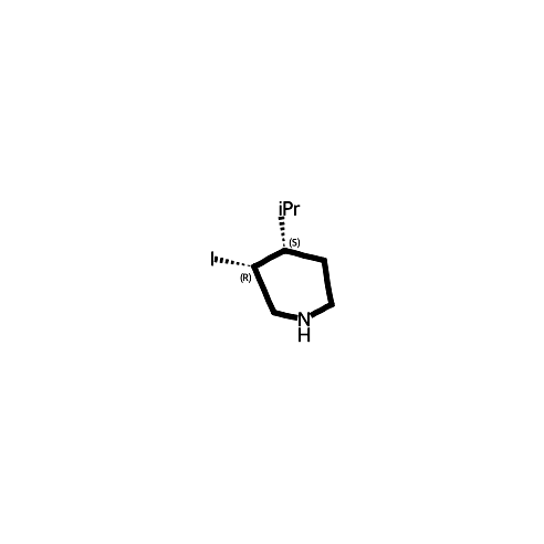 CC(C)[C@@H]1CCNC[C@@H]1I